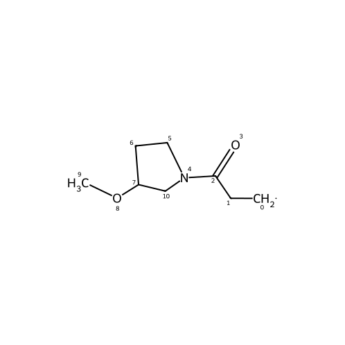 [CH2]CC(=O)N1CCC(OC)C1